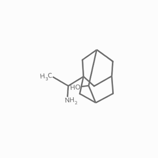 CC(N)C12CC3CC(C1)C(O)C(C3)C2